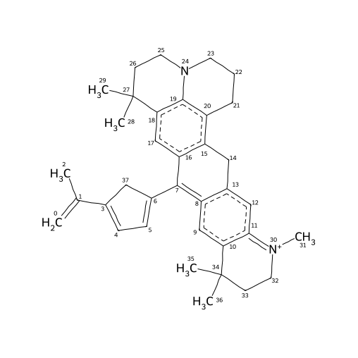 C=C(C)C1=CC=C(C2=c3cc4c(cc3Cc3c2cc2c5c3CCCN5CCC2(C)C)=[N+](C)CCC4(C)C)C1